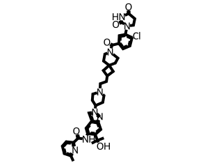 Cc1cccc(C(=O)Nc2cc3cn(C4CCN(CCC5CC6(CCN(C(=O)c7ccc(Cl)c(N8CCC(=O)NC8=O)c7)CC6)C5)CC4)nc3cc2C(C)(C)O)n1